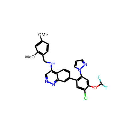 COc1ccc(CNc2cnnc3cc(-c4cc(Cl)c(OC(F)F)cc4-n4cccn4)ccc23)c(OC)c1